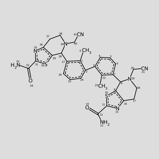 Cc1c(-c2cccc(C3c4sc(C(N)=O)nc4CCN3CC#N)c2C)cccc1C1c2sc(C(N)=O)nc2CCN1CC#N